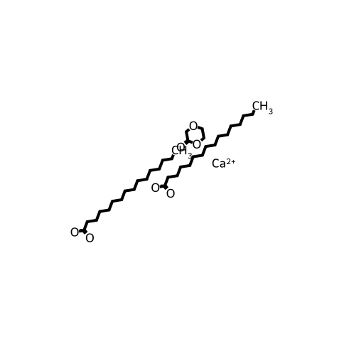 CCCCCCCCCCCCCCCC(=O)[O-].CCCCCCCCCCCCCCCC(=O)[O-].O=C1COCCO1.[Ca+2]